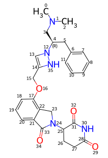 CN(C)C[C@@H](Cc1ccccc1)n1cc(COc2cccc3c2CN(C2CCC(=O)NC2=O)C3=O)[nH]1